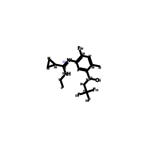 CCN/C(=N\c1cc([S+]([O-])CC(F)(F)F)c(C)cc1F)C1CC1